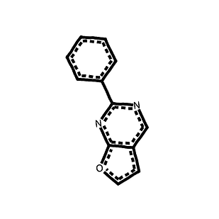 c1ccc(-c2ncc3ccoc3n2)cc1